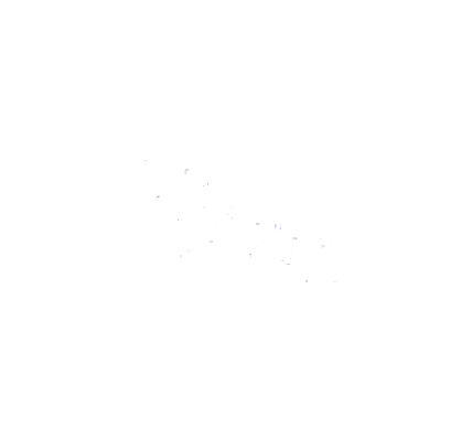 CCOC(=O)c1cc2cc(F)c(-c3ccc(F)cc3)nc2nc1C(F)(F)F